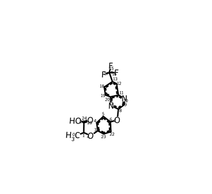 CC(Oc1ccc(Oc2cnc3cc(C(F)(F)F)ccc3n2)cc1)C(=O)O